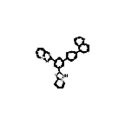 C1=CC2=NC(c3cc(-c4ccc(-c5cccc6ccccc56)cc4)cc(-c4nc5ccccn5n4)c3)NN2C=C1